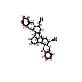 N#Cc1cc2c(c3c1C1c4ccccc4C3c3ccccc31)c1cccc3c4c5c(c(C#N)cc4n2c13)C1c2ccccc2C5c2ccccc21